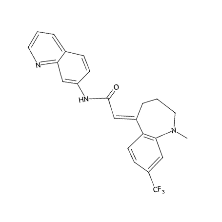 CN1CCCC(=CC(=O)Nc2ccc3cccnc3c2)c2ccc(C(F)(F)F)cc21